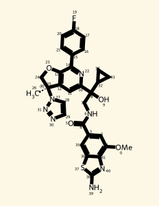 COc1cc(C(=O)NCC(O)(c2cc3c(c(-c4ccc(F)cc4)n2)OC[C@]3(C)n2ccnn2)C2CC2)cc2sc(N)nc12